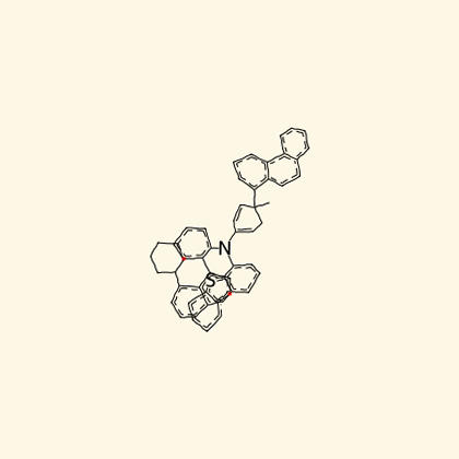 CC1(c2cccc3c2ccc2ccccc23)C=CC(N(c2ccccc2-c2cccc3cccc(C4CCCCC4)c23)c2cccc3c2sc2ccccc23)=CC1